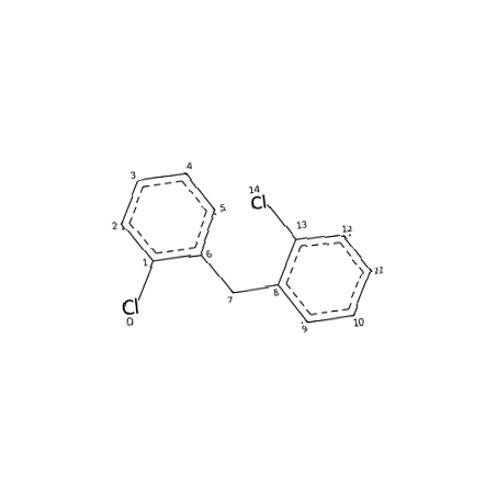 Clc1[c]cc[c]c1Cc1[c]cc[c]c1Cl